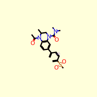 C=C(/C=C\C(=C)S(C)(=O)=O)c1ccc2c(c1)N(C(=O)N(C)C)CC(C)N2C(C)=O